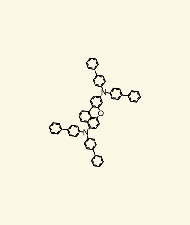 c1ccc(-c2ccc(N(c3ccc(-c4ccccc4)cc3)c3ccc4c(c3)Oc3ccc(N(c5ccc(-c6ccccc6)cc5)c5ccc(-c6ccccc6)cc5)c5cccc-4c35)cc2)cc1